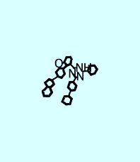 c1ccc(-c2ccc(C3=NC(c4ccccc4)NC(c4cccc5oc6cc(-c7ccc8ccccc8c7)ccc6c45)=N3)cc2)cc1